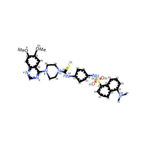 COc1cc2ncnc(N3CCN(C(=S)Nc4ccc(NS(=O)(=O)c5cccc6c(N(C)C)cccc56)cc4)CC3)c2cc1OC